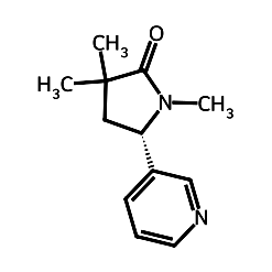 CN1C(=O)C(C)(C)C[C@H]1c1cccnc1